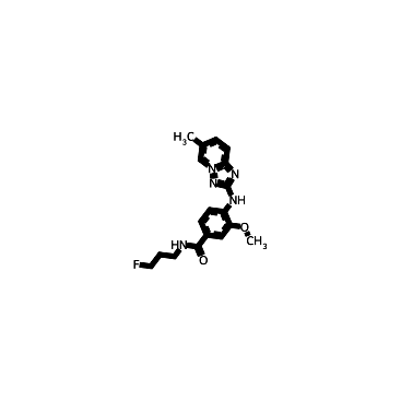 COc1cc(C(=O)NCCCF)ccc1Nc1nc2ccc(C)cn2n1